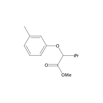 COC(=O)C(Oc1cccc(C)c1)C(C)C